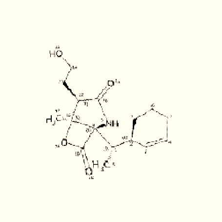 C[C@@H]([C@@H]1C=CCCC1)[C@@]12NC(=O)[C@H](CCO)[C@]1(C)OC2=O